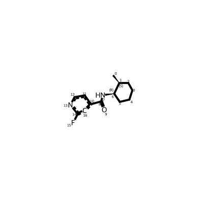 C[C@H]1CCCC[C@H]1NC(=O)c1ccnc(F)c1